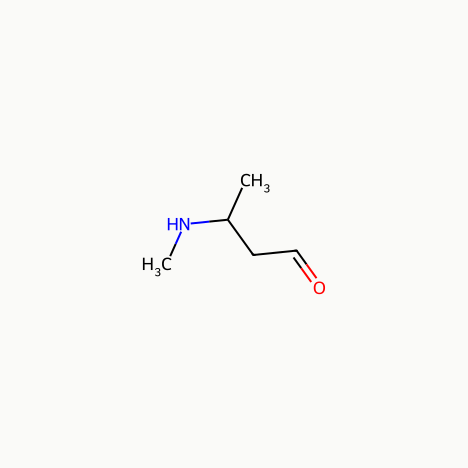 CNC(C)CC=O